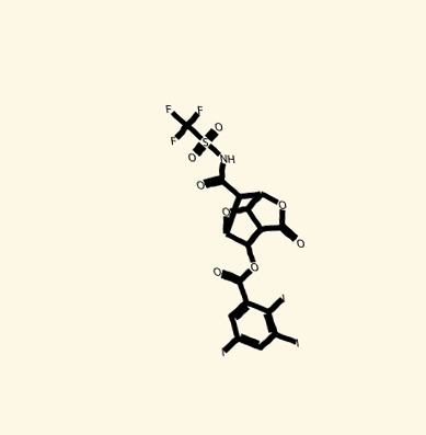 O=C(OC1C2OC3C(OC(=O)C13)C2C(=O)NS(=O)(=O)C(F)(F)F)c1cc(I)cc(I)c1I